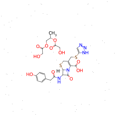 CC(COC(=O)CO)OC(=O)CO.O=C(Cc1ccc(O)cc1)NC1C(=O)N2C(C(=O)O)=C(CSc3cnn[nH]3)CS[C@H]12